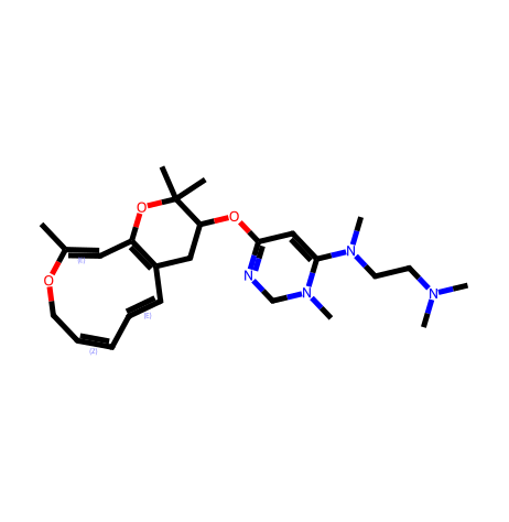 C/C1=C\C2=C(/C=C/C=C\CO1)CC(OC1=NCN(C)C(N(C)CCN(C)C)=C1)C(C)(C)O2